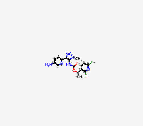 CC(OC(=O)Nc1c(-c2ccc(N)cn2)nnn1C)c1ccc(F)nc1Cl